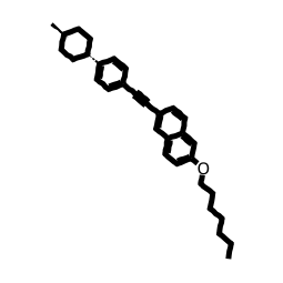 CCCCCCCOc1ccc2cc(C#Cc3ccc([C@H]4CC[C@H](C)CC4)cc3)ccc2c1